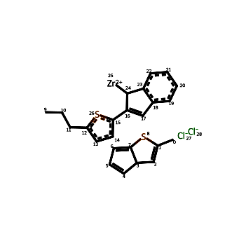 CC1=CC2C=CC=C2S1.CCCc1ccc(C2=Cc3ccccc3[CH]2[Zr+2])s1.[Cl-].[Cl-]